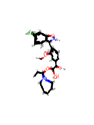 CCC(OC(O)C(=O)c1ccc(-c2noc3cc(F)ccc23)c(OC)c1)N1CCCCC1